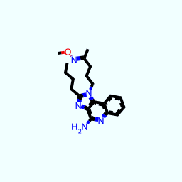 CCCCc1nc2c(N)nc3ccccc3c2n1CCCC(C)=NOC